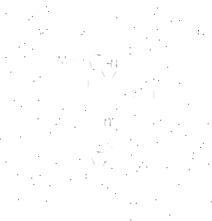 COc1ccc2nccc([C@@H](F)CCC3CCN(CCSc4ccccc4)CC3CCC(=O)O)c2c1